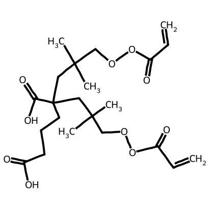 C=CC(=O)OOCC(C)(C)CC(CCCC(=O)O)(CC(C)(C)COOC(=O)C=C)C(=O)O